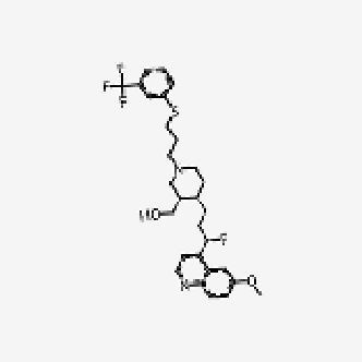 COc1ccc2nccc([C@H](F)CC[C@@H]3CCN(CCCSc4cccc(C(F)(F)F)c4)C[C@@H]3CO)c2c1